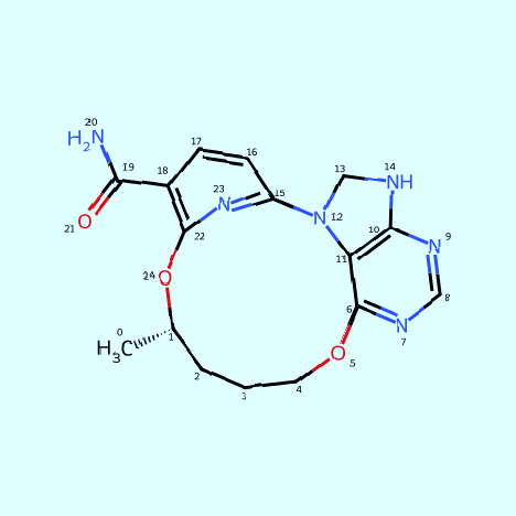 C[C@H]1CCCOc2ncnc3c2N(CN3)c2ccc(C(N)=O)c(n2)O1